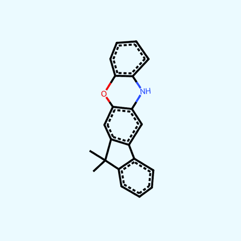 CC1(C)c2ccccc2-c2cc3c(cc21)Oc1ccccc1N3